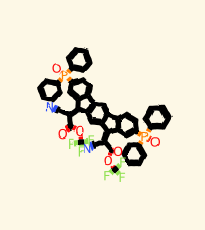 N#C/C(C(=O)OC(F)(F)F)=C1/c2cc(P(=O)(c3ccccc3)c3ccccc3)ccc2-c2cc3c(cc21)/C(=C(/C#N)C(=O)OC(F)(F)F)c1cc(P(=O)(c2ccccc2)c2ccccc2)ccc1-3